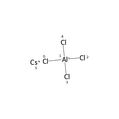 [Cl][Al-]([Cl])([Cl])[Cl].[Cs+]